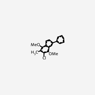 COc1c(C)c(Cl)c(OC)c2cc(-c3ccccc3)ccc12